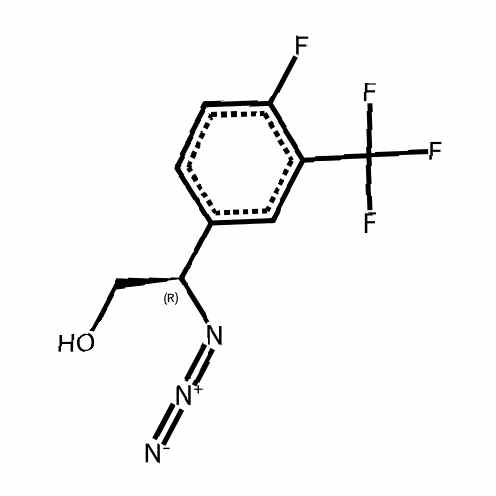 [N-]=[N+]=N[C@@H](CO)c1ccc(F)c(C(F)(F)F)c1